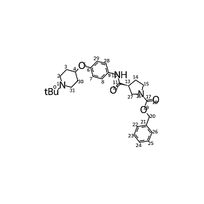 CC(C)(C)N1CCC(Oc2ccc(NC(=O)[C@H]3CCN(C(=O)OCc4ccccc4)C3)cc2)CC1